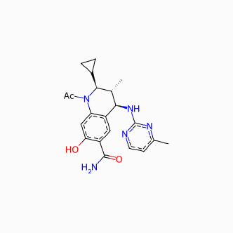 CC(=O)N1c2cc(O)c(C(N)=O)cc2[C@H](Nc2nccc(C)n2)[C@@H](C)[C@@H]1C1CC1